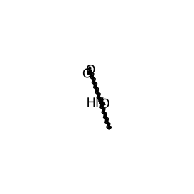 C=CCCCCCCCCC(=O)NCCCCCCCCCCCC(=O)OC